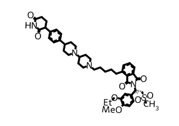 CCOc1cc([C@@H](CS(C)(=O)=O)N2C(=O)c3cccc(CCCCCN4CCC(N5CCC(c6ccc(C7CCC(=O)NC7=O)cc6)CC5)CC4)c3C2=O)ccc1OC